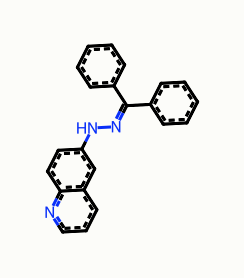 c1ccc(C(=NNc2ccc3ncccc3c2)c2ccccc2)cc1